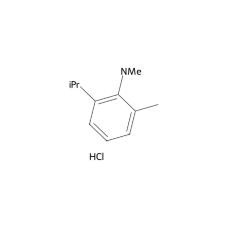 CNc1c(C)cccc1C(C)C.Cl